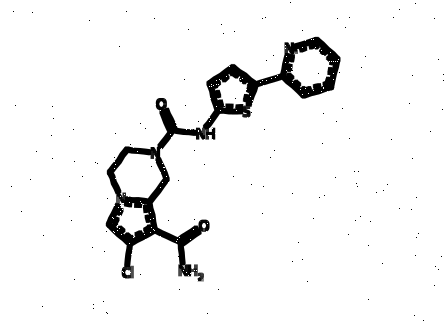 NC(=O)c1c(Cl)cn2c1CN(C(=O)Nc1ccc(-c3ccccn3)s1)CC2